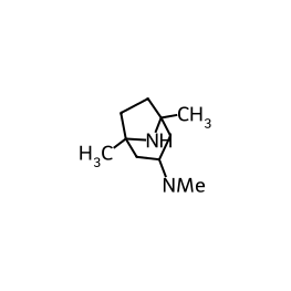 CNC1CC2(C)CCC(C)(C1)N2